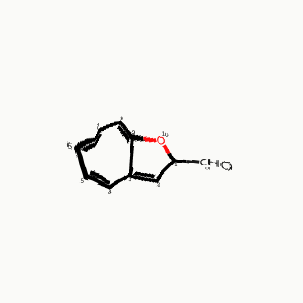 O=CC1C=C2C=CC=CC=C2O1